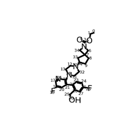 CCOC(=O)N1CC2(CC[C@@H](N3CCN(c4ncc(F)cc4-c4ccc(F)cc4CO)CC3)C2)C1